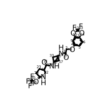 O=C(COc1ccc2c(c1)OC(F)(F)O2)NC12CC(NC(=O)C3CCC(OC(F)(F)F)NC3)(C1)C2